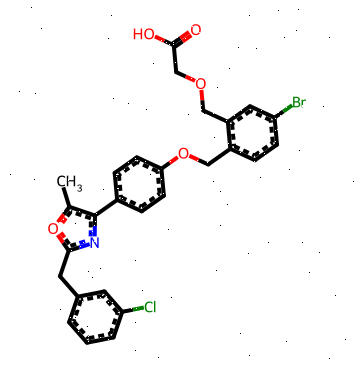 Cc1oc(Cc2cccc(Cl)c2)nc1-c1ccc(OCc2ccc(Br)cc2COCC(=O)O)cc1